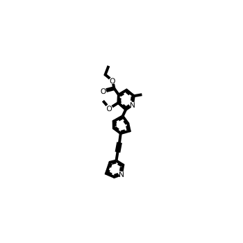 CCOC(=O)c1cc(C)nc(-c2ccc(C#Cc3cccnc3)cc2)c1OC